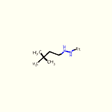 CCNNCCC(C)(C)C